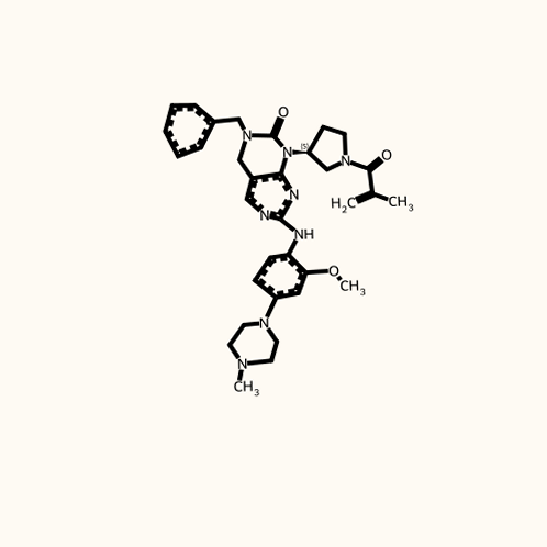 C=C(C)C(=O)N1CC[C@H](N2C(=O)N(Cc3ccccc3)Cc3cnc(Nc4ccc(N5CCN(C)CC5)cc4OC)nc32)C1